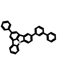 c1ccc(-c2cccc(-c3ccc4c(c3)c3cc(-c5ccccc5)cc5c6ccccc6n4c53)c2)cc1